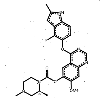 COc1cc2ncnc(Oc3ccc4[nH]c(C)cc4c3F)c2cc1OC(=O)N1CCN(C)C[C@@H]1C